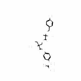 CCC(C)(OCc1ccc(C)cc1)C(=O)OCC(C)(CO)C(=O)Oc1ccc(NC(=N)N)cc1